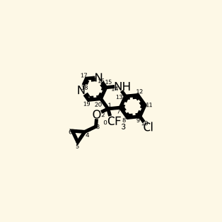 FC(F)(F)C1(OCC2CC2)c2cc(Cl)ccc2Nc2ncncc21